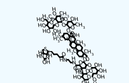 COC1C(O)C(C)OC(OC2C(OC(=O)[C@]34CCC(C)(C)CC3C3=CCC5[C@@]6(C)CC[C@H](OC7OC(C(=O)NCCNC(=O)CCCC[C@@H]8SC[C@@H]9NC(=O)N[C@@H]98)C(O)C(OC8OCC(O)C(O)C8O)C7OC7OC(CO)C(O)C(O)C7O)[C@@](C)(C=O)C6CC[C@@]5(C)[C@]3(C)C[C@H]4O)OC(C)C(O)C2O)C1OC1OC(CO)C(O)C(O)C1O